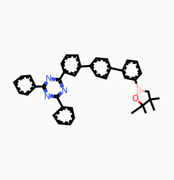 CC1(C)CB(c2cccc(-c3ccc(-c4cccc(-c5nc(-c6ccccc6)nc(-c6ccccc6)n5)c4)cc3)c2)OC1(C)C